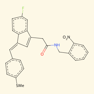 CSc1ccc(/C=C2\C=C(CC(=O)NCc3ccccc3[N+](=O)[O-])c3cc(F)ccc32)cc1